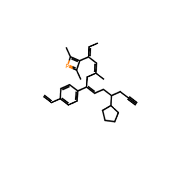 C#CCC(C/C=C(\C/C(C)=C\C(=C/C)C1=C(C)P=C1C)c1ccc(C=C)cc1)C1CCCC1